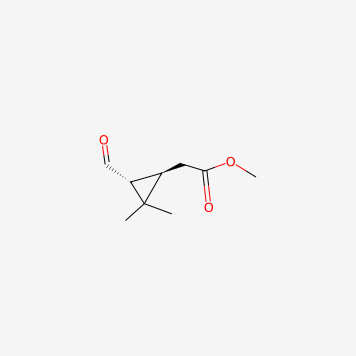 COC(=O)C[C@@H]1[C@@H](C=O)C1(C)C